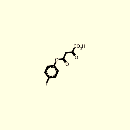 O=C(CC(=O)C(=O)O)Oc1ccc(I)cc1